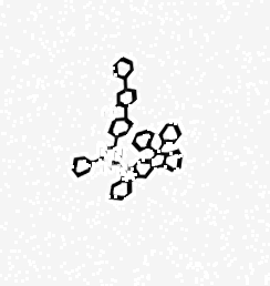 c1ccc(-c2ccc3c(c2)oc2cc(-c4nc(-c5ccccc5)nc(-n5c6ccccc6c6cc7c(cc65)C(c5ccccc5)(c5ccccc5)c5ccccc5-7)n4)ccc23)cc1